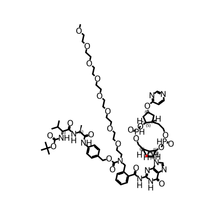 COCCOCCOCCOCCOCCOCCOCCOCCN(Cc1ccccc1C(=O)Nc1nc2c(ncn2[C@@H]2C[C@@H]3CO[PH](=O)O[C@H]4C[C@H](Oc5ccncn5)C[C@@H]4CCO[PH](=O)O[C@@H]2[C@@H]3O)c(=O)[nH]1)C(=O)OCc1ccc(NC(=O)[C@H](C)NC(=O)[C@@H](NC(=O)OC(C)(C)C)C(C)C)cc1